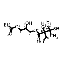 CCC(=O)OCC(O)COC(=O)C(C)(CC(C)(C)C)C(C)(C)S